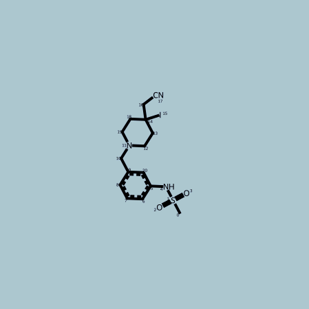 CS(=O)(=O)Nc1cccc(CN2CCC(I)(CC#N)CC2)c1